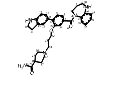 C[C@H]1CCN(C(=O)c2ccc(-c3ccc4c(c3)CCN4)c(OCCCN3CCC(C(N)=O)CC3)c2)c2ccccc2N1